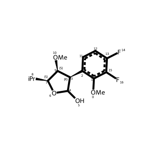 COc1c([C@H]2C(O)O[C@@H](C(C)C)[C@H]2OC)ccc(F)c1F